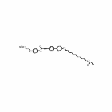 C=CC(=O)OCCCCCCCCCCCOC1CCC(c2ccc(C#CC(=O)Oc3ccc(OCCCCCCCCCCCC)cc3)cc2)CC1